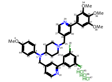 COc1ccc(N(Cc2ccnc(-c3cc(F)cc(F)c3)c2)C2CCN(Cc3ccnc(-c4cc(OC)c(OC)c(OC)c4)c3)CC2)cc1.Cl.Cl.Cl